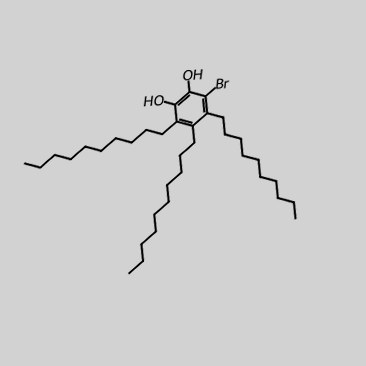 CCCCCCCCCCc1c(O)c(O)c(Br)c(CCCCCCCCCC)c1CCCCCCCCCC